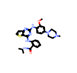 COc1cc(N2CCN(C)CC2)ccc1Nc1nc(Nc2ccccc2C(=O)NC(C)C)c2sccc2n1